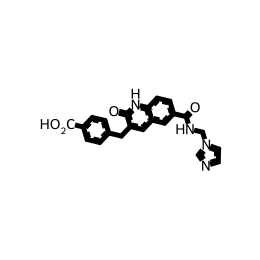 O=C(O)c1ccc(Cc2cc3cc(C(=O)NCn4ccnc4)ccc3[nH]c2=O)cc1